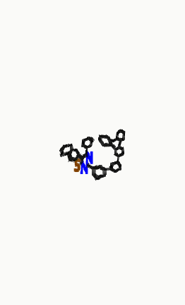 c1ccc(-c2nc(-c3cccc(-c4cccc(-c5ccc6c7ccccc7c7ccccc7c6c5)c4)c3)nc3sc4cc5ccccc5cc4c23)cc1